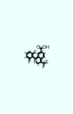 O=C(O)c1ccc2c(C(F)F)cnc(-c3c(F)cccc3F)c2c1